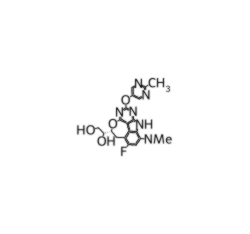 CNc1cc(F)c2c3c1[nH]c1nc(Oc4cnc(C)nc4)nc(c13)O[C@@H](C(O)CO)C2